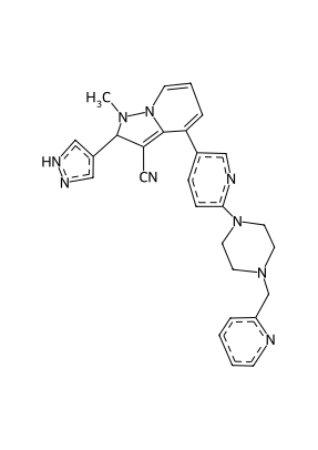 CN1C(c2cn[nH]c2)C(C#N)=C2C(c3ccc(N4CCN(Cc5ccccn5)CC4)nc3)=CC=CN21